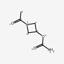 CC(=O)N1CC(OC(N)=O)C1